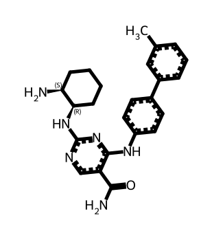 Cc1cccc(-c2ccc(Nc3nc(N[C@@H]4CCCC[C@@H]4N)ncc3C(N)=O)cc2)c1